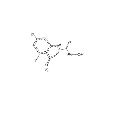 O=C(NO)c1cc(=O)c2c(Cl)cc(Cl)cc2[nH]1.[K]